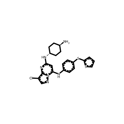 N[C@H]1CC[C@H](Nc2cc(Nc3ccc(Sc4cccs4)cc3)n3ncc(Cl)c3n2)CC1